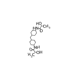 CC(O)C(=O)NC1CCC(CC2CCC(NC(=O)C(C)O)CC2)CC1